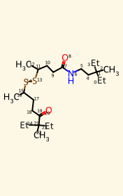 CCC(C)(CC)CCNC(=O)CCC(C)SSC(C)CCC(=O)C(C)(CC)CC